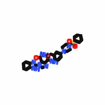 Cc1cc(N2CCN(S(=O)(=O)c3ccccc3)CC2)ccc1NC(=O)c1ncn(-c2nc3ccccc3[nH]2)c1C(N)=O